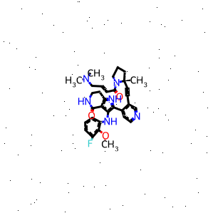 COc1c(F)cccc1Nc1c(-c2ccncc2C#C[C@@]2(C)CCCN2C(=O)/C=C/CN(C)C)[nH]c2c1C(=O)NCC2